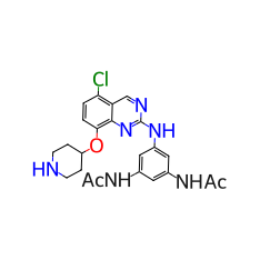 CC(=O)Nc1cc(NC(C)=O)cc(Nc2ncc3c(Cl)ccc(OC4CCNCC4)c3n2)c1